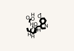 C=C[C@H]1C[N@]2CC[C@H]1C[C@H]2[C@H](O)c1ccnc2ccc(OC)cc12.CC(=O)O